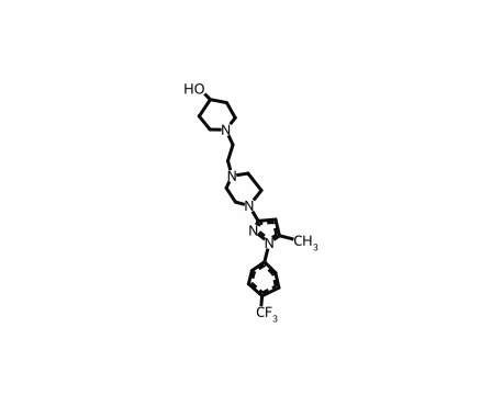 Cc1cc(N2CCN(CCN3CCC(O)CC3)CC2)nn1-c1ccc(C(F)(F)F)cc1